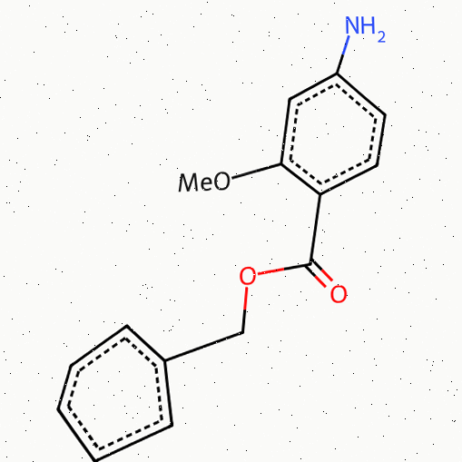 COc1cc(N)ccc1C(=O)OCc1ccccc1